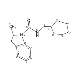 CC1Cc2ccccc2N1C(=O)NCC1CCCCC1